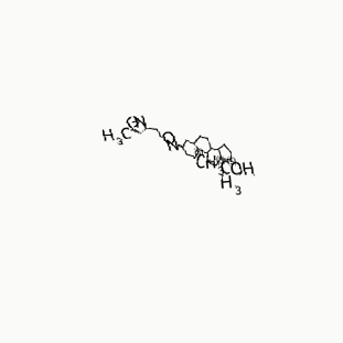 Cc1cc(CCON=C2CC[C@@]3(C)C(CCC4C3CC[C@@]3(C)C4CC[C@@H]3O)C2)no1